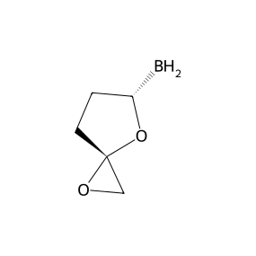 B[C@H]1CC[C@]2(CO2)O1